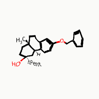 CCCCC[C@]1(O)CC[C@]2(C)CCc3cc(OCc4ccccc4)ccc3[C@H]2C1